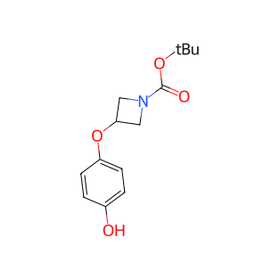 CC(C)(C)OC(=O)N1CC(Oc2ccc(O)cc2)C1